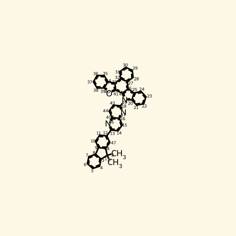 CC1(C)c2ccccc2-c2ccc(-c3ccc4nc(-n5c6ccccc6c6c7ccccc7c7c8ccccc8oc7c65)ccc4n3)cc21